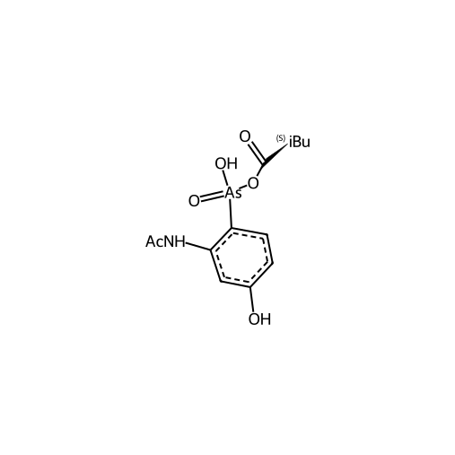 CC[C@H](C)C(=O)O[As](=O)(O)c1ccc(O)cc1NC(C)=O